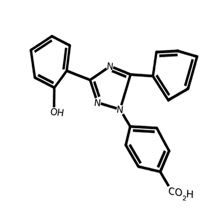 O=C(O)c1ccc(-n2nc(-c3ccccc3O)nc2-c2ccccc2)cc1